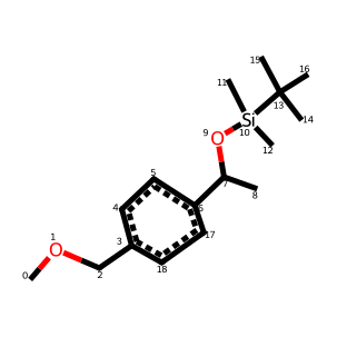 COCc1ccc(C(C)O[Si](C)(C)C(C)(C)C)cc1